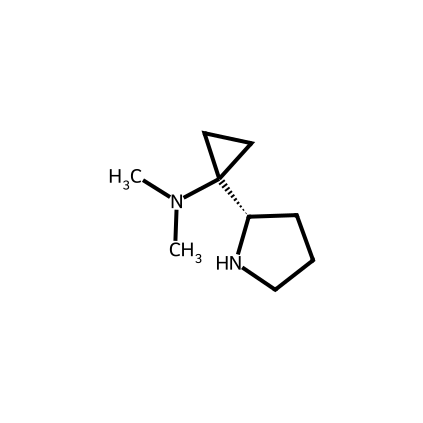 CN(C)C1([C@@H]2CCCN2)CC1